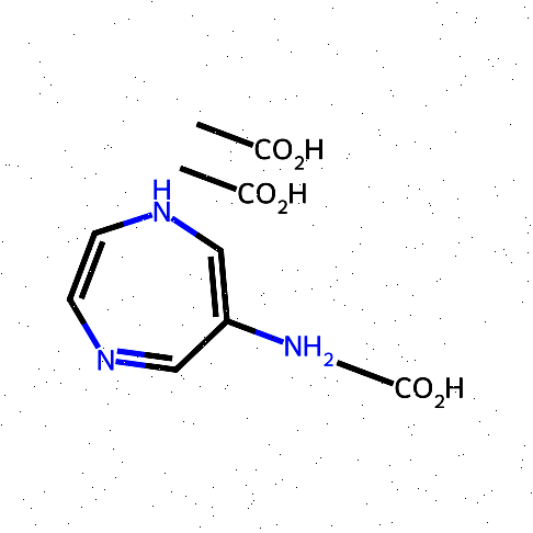 CC(=O)O.CC(=O)O.CC(=O)O.NC1=CNC=CN=C1